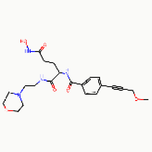 COCC#Cc1ccc(C(=O)NC(CCC(=O)NO)C(=O)NCCN2CCOCC2)cc1